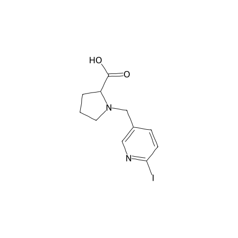 O=C(O)C1CCCN1Cc1ccc(I)nc1